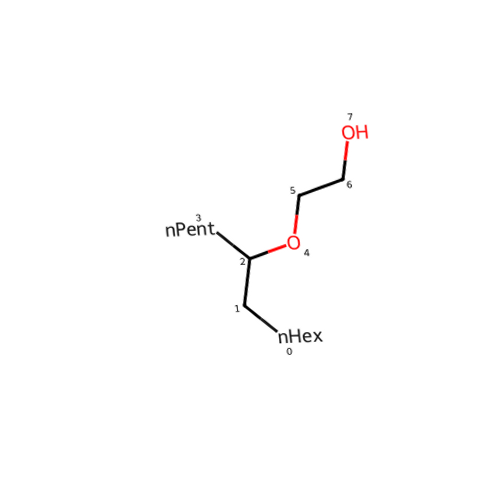 CCCCCCCC(CCCCC)OCCO